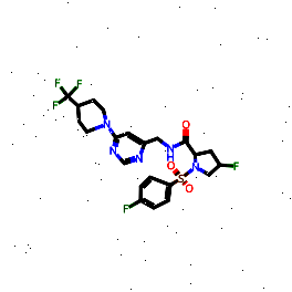 O=C(NCc1cc(N2CCC(C(F)(F)F)CC2)ncn1)C1CC(F)CN1S(=O)(=O)c1ccc(F)cc1